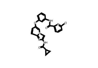 O=C(Nc1cccc(Oc2ccc3nc(NC(=O)C4CC4)cn3c2)c1)c1cccc(Cl)n1